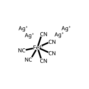 N#[C][Fe-4]([C]#N)([C]#N)([C]#N)([C]#N)[C]#N.[Ag+].[Ag+].[Ag+].[Ag+]